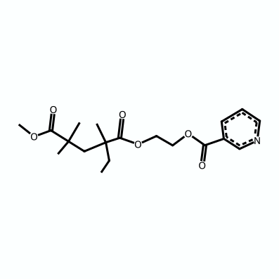 CCC(C)(CC(C)(C)C(=O)OC)C(=O)OCCOC(=O)c1cccnc1